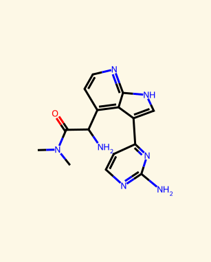 CN(C)C(=O)C(N)c1ccnc2[nH]cc(-c3ccnc(N)n3)c12